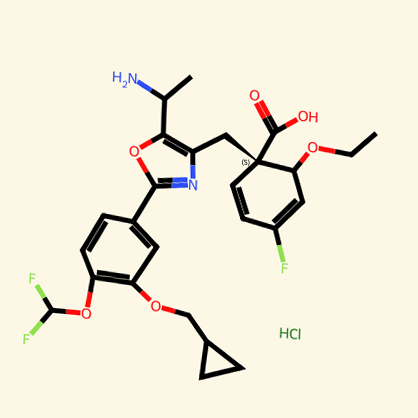 CCOC1C=C(F)C=C[C@]1(Cc1nc(-c2ccc(OC(F)F)c(OCC3CC3)c2)oc1C(C)N)C(=O)O.Cl